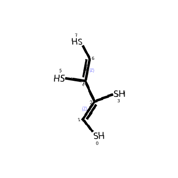 S/C=C(S)/C(S)=C/S